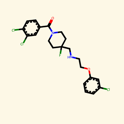 O=C(c1ccc(Cl)c(Cl)c1)N1CCC(F)(CNCCOc2cccc(Cl)c2)CC1